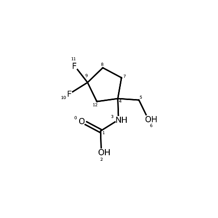 O=C(O)NC1(CO)CCC(F)(F)C1